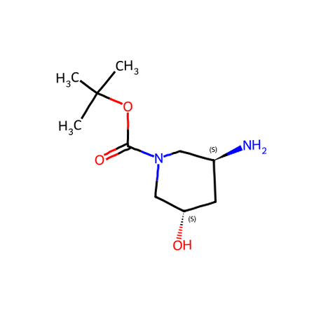 CC(C)(C)OC(=O)N1C[C@@H](N)C[C@H](O)C1